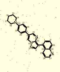 c1cc(-c2cnn3cc(-c4ccc(N5CCCCC5)cc4)cnc23)c2cccnc2c1